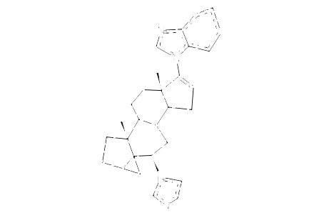 C[C@]12CCC3C(C[C@@H](n4ccnc4)C45CC4CC[C@]35C)C1CC=C2n1cnc2ccccc21